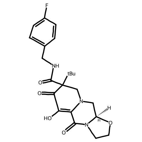 CC(C)(C)C1(C(=O)NCc2ccc(F)cc2)CN2C[C@H]3OCCN3C(=O)C2=C(O)C1=O